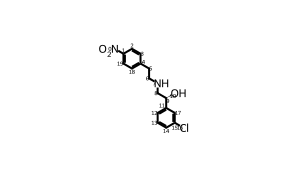 O=[N+]([O-])c1ccc(CCNC[C@H](O)c2cccc(Cl)c2)cc1